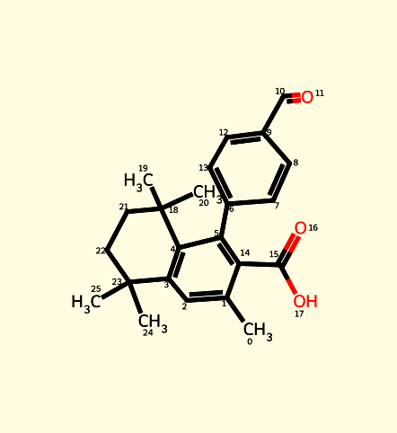 Cc1cc2c(c(-c3ccc(C=O)cc3)c1C(=O)O)C(C)(C)CCC2(C)C